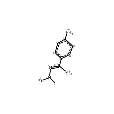 CCN(C)/N=C(\N)c1ccc(P)cc1